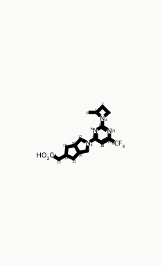 CC1CCN1c1nc(N2CC3CC(CC(=O)O)CC3C2)cc(C(F)(F)F)n1